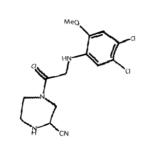 COc1cc(Cl)c(Cl)cc1NCC(=O)N1CCNC(C#N)C1